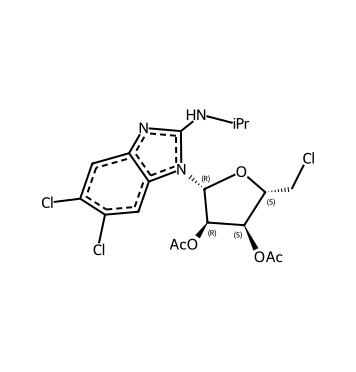 CC(=O)O[C@@H]1[C@H](OC(C)=O)[C@@H](CCl)O[C@H]1n1c(NC(C)C)nc2cc(Cl)c(Cl)cc21